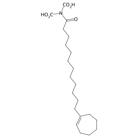 O=C(O)N(C(=O)O)C(=O)CCCCCCCCCCCC1=CCCCCC1